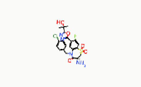 CC(C)(O)c1nnc(-c2cc3c(cc2F)S(=O)(=O)C[C@H](N)C(=O)N3Cc2ccc(Cl)cc2)o1